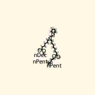 CCCCCCCCCCCOC(=O)CCCCCN(CCCCCCCC(=O)OCCCC(CCCCC)CCCCC)CCN1CCCC1